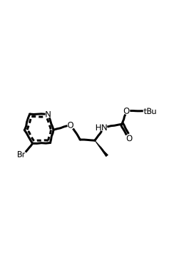 C[C@@H](COc1cc(Br)ccn1)NC(=O)OC(C)(C)C